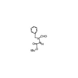 [2H]N(C(=O)OC(C)(C)C)[C@H]([C]=O)Cc1ccccc1